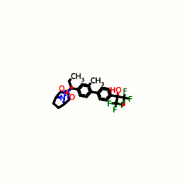 CCCS(=O)(=O)N1C2CCC1CN(Cc1ccc(-c3ccc(C(O)(C(F)(F)F)C(F)(F)F)cc3)c(C)c1)C2